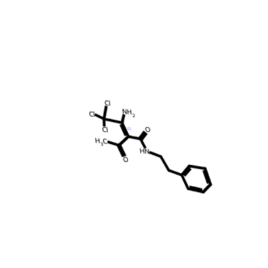 CC(=O)/C(C(=O)NCCc1ccccc1)=C(/N)C(Cl)(Cl)Cl